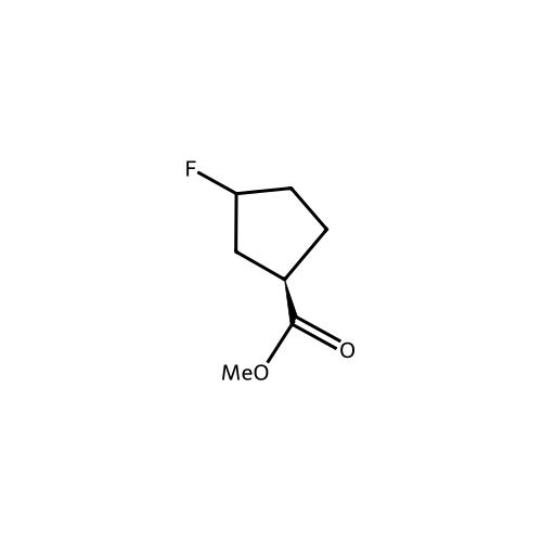 COC(=O)[C@@H]1CCC(F)C1